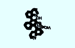 OBOc1c(O)c(-c2cccc3cccnc23)c2ccccc2c1-c1cccc2ncccc12